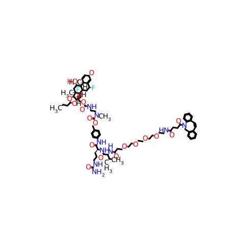 CCCC1O[C@@H]2C[C@H]3[C@@H]4C[C@H](F)C5=CC(=O)C=C[C@]5(C)[C@@]4(F)[C@@H](O)C[C@]3(C)[C@]2(C(=O)COC(=O)NCCN(C)C(=O)OCc2ccc(NC(=O)[C@H](CCCNC(N)=O)NC(=O)[C@@H](NC(=O)CCOCCOCCOCCOCCNC(=O)CCC(=O)N3Cc4ccccc4C#Cc4ccccc43)C(C)C)cc2)O1